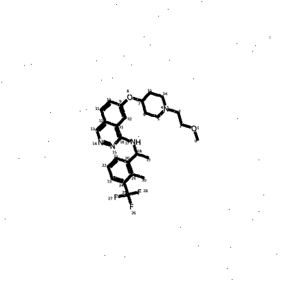 COCCN1CCC(Oc2ccc3cnnc(NC(C)c4cccc(C(F)(F)F)c4C)c3c2)CC1